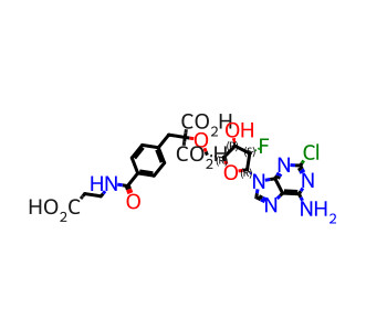 Nc1nc(Cl)nc2c1ncn2[C@@H]1O[C@H](COC(Cc2ccc(C(=O)NCCC(=O)O)cc2)(C(=O)O)C(=O)O)[C@@H](O)[C@@H]1F